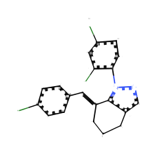 Clc1ccc(C=C2CCCc3[c]nn(-c4ccc(Cl)cc4Cl)c32)cc1